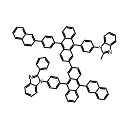 Cc1nc2ccccc2n1-c1ccc(-c2c3ccccc3c(-c3ccc(-c4ccc5ccccc5c4)cc3)c3ccc(-c4ccc5c(-c6ccc7ccccc7c6)c6ccccc6c(-c6ccc(-n7c(-c8ccccc8)nc8ccccc87)cc6)c5c4)cc23)cc1